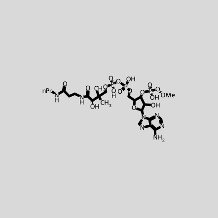 CCCNC(=O)CCNC(=O)[C@H](O)C(C)(C)COP(=O)(O)OP(=O)(O)OCC1OC(n2cnc3c(N)ncnc32)C(O)C1OP(=O)(O)OOC